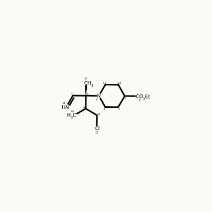 CCOC(=O)C1CCN([C@@](C)(C=N)C(C)CCl)CC1